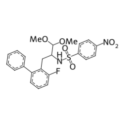 COC(OC)C(Cc1c(F)cccc1-c1ccccc1)NS(=O)(=O)c1ccc([N+](=O)[O-])cc1